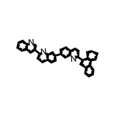 c1ccc2ncc(-c3ccc4ccc(-c5ccc6ccc(-c7cc8ccccc8c8ccccc78)nc6c5)cc4n3)cc2c1